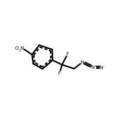 [N-]=[N+]=NCC(F)(F)c1ccc([N+](=O)[O-])cc1